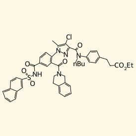 CCCCN(C(=O)c1nn(-c2ccc(C(=O)NS(=O)(=O)c3ccc4ccccc4c3)cc2C(=O)N2CCc3ccccc3C2)c(C)c1Cl)c1ccc(CCC(=O)OCC)cc1